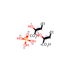 CC/C=C(\O)C(=O)O.CC/C=C(\O)C(=O)O.O=P(O)(O)O